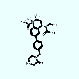 CCN(C(=O)O)[C@@H]1C[C@H](C)[N+](C)(C(C)=O)c2ccc(-c3ccc(CN4CCNCC4=O)cc3)cc21